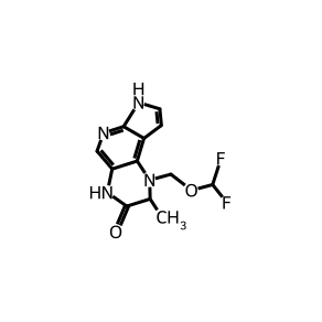 CC1C(=O)Nc2cnc3[nH]ccc3c2N1COC(F)F